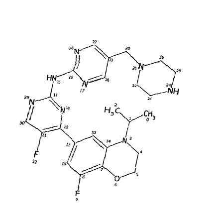 CC(C)N1CCOc2c(F)cc(-c3nc(Nc4ncc(CN5CCNCC5)cn4)ncc3F)cc21